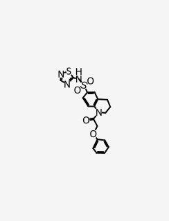 O=C(COc1ccccc1)N1CCCc2cc(S(=O)(=O)Nc3ncns3)ccc21